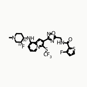 CN1CC[C@@H](Nc2cccn3c(SC(F)(F)F)c(-c4noc(CNC(=O)c5sccc5F)n4)cc23)[C@@H](F)C1